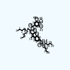 CCCCN(CCCC)CC(Cc1c(C)c2ccc(NC(=O)N(CCCC)CCCC)cc2oc1=O)OC(=O)c1cc(OC)c(OC)c(OC)c1